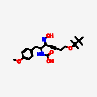 COc1ccc(CC(NC(=O)O)C(C#CCCO[Si](C)(C)C(C)(C)C)=NO)cc1